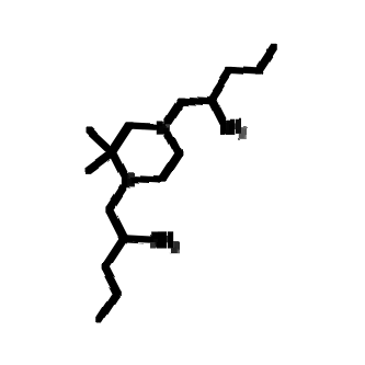 CCCC(N)CN1CCN(CC(N)CCC)C(C)(C)C1